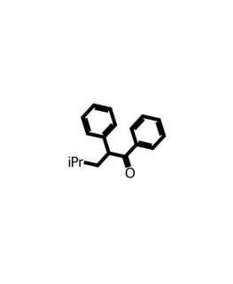 CC(C)CC(C(=O)c1ccccc1)c1ccccc1